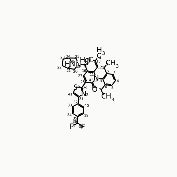 CCc1cccc(CC)c1-n1c(C=C(C)C)c(C(=O)N2CC3CCC(C2)N3)cc(-c2nc(-c3ccc(C(F)F)cc3)cs2)c1=O